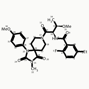 CCc1ccc(F)c(C(=O)N[C@@H](C(=O)N2CCC3(CC2)C(=O)N(C)C(=O)N3c2ccc(OC)cc2)[C@@H](C)OC)c1